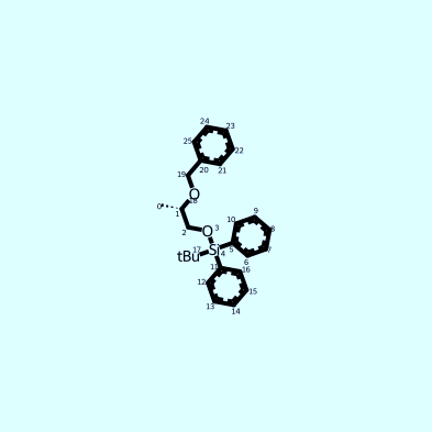 C[C@@H](CO[Si](c1ccccc1)(c1ccccc1)C(C)(C)C)OCc1ccccc1